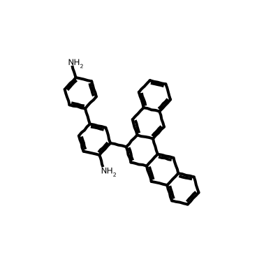 Nc1ccc(-c2ccc(N)c(-c3cc4cc5ccccc5cc4c4cc5ccccc5cc34)c2)cc1